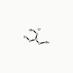 CCCC[O][Ti+]([O]CC)[O]CCCC.[Cl-]